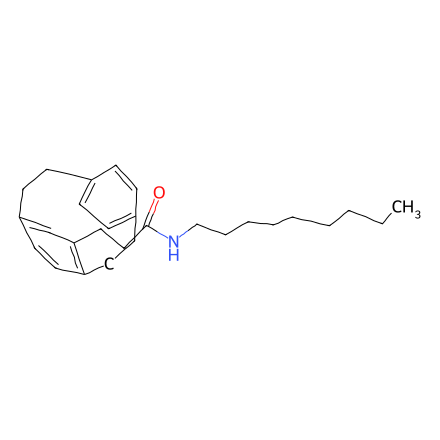 CCCCCCCCCNC(=O)CCc1cc2ccc1CCc1ccc(cc1)CC2